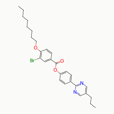 CCCCCCCCOc1ccc(C(=O)Oc2ccc(-c3ncc(CCC)cn3)cc2)cc1Br